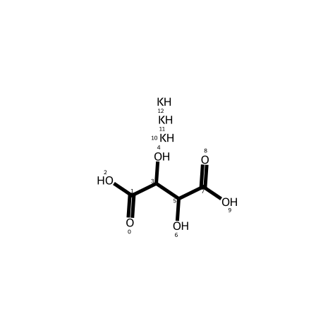 O=C(O)C(O)C(O)C(=O)O.[KH].[KH].[KH]